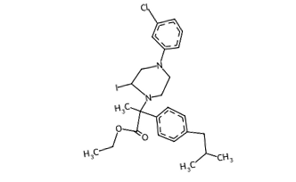 CCOC(=O)C(C)(c1ccc(CC(C)C)cc1)N1CCN(c2cccc(Cl)c2)CC1I